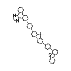 CC1(C)c2cc(-c3ccc(-c4ccc5c6ccccc6c6nccnc6c5c4)cc3)ccc2-c2ccc(-c3ccc(-c4cccc5c4sc4ccccc45)cc3)cc21